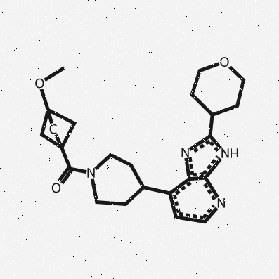 COC12CC(C(=O)N3CCC(c4ccnc5[nH]c(C6CCOCC6)nc45)CC3)(C1)C2